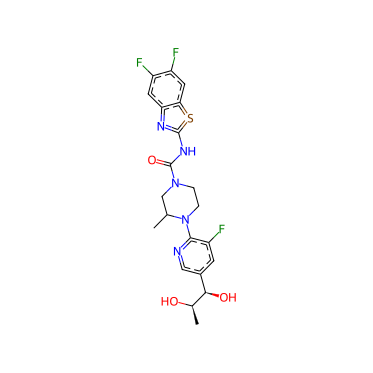 CC1CN(C(=O)Nc2nc3cc(F)c(F)cc3s2)CCN1c1ncc([C@@H](O)[C@@H](C)O)cc1F